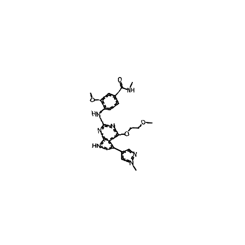 CNC(=O)c1ccc(Nc2nc(OCCOC)c3c(-c4cnn(C)c4)c[nH]c3n2)c(OC)c1